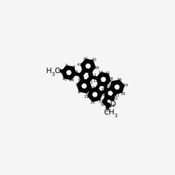 Cc1ccc(-c2c3ccccc3c(-c3cccc4c3-c3ccccc3C43c4ccccc4-c4oc(C)cc43)c3ccccc23)cc1